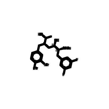 CCCc1ccc(CN(C[C@@H](O)[C@H](Cc2cc(F)cc(F)c2)NC(C)=O)B(C)O)cc1CCC